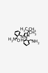 CC(C)(C)c1cc(Nc2ccccc2C(N)=O)n(-c2ccccc2CN)n1